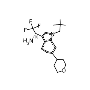 CC(C)(C)Cn1cc([C@H](N)C(F)(F)F)c2ccc(C3CCOCC3)cc21